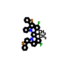 CC(C)c1c(-c2ccc(F)cc2)c(-n2c3ccccc3c3c4c(ccc32)sc2ccccc24)cc(-n2c3ccccc3c3c4c(ccc32)sc2ccccc24)c1-c1ccc(F)cc1